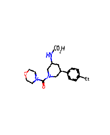 CCc1ccc(C2CC(NC(=O)O)CN(C(=O)N3CCOCC3)C2)cc1